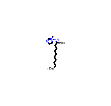 CCCCCCCCCCCCCCCCCCC(CCCC)N[N+]1(C)C=NCC1